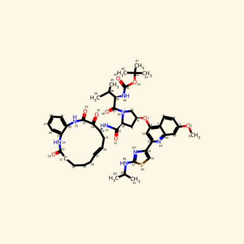 COc1ccc2c(O[C@H]3C[C@@H](C(=O)N[C@@H]4C/C=C/CCCCC(=O)Nc5ccccc5NC(=O)C4=O)N(C(=O)[C@H](NC(=O)OC(C)(C)C)C(C)C)C3)cc(-c3csc(NC(C)C)n3)nc2c1